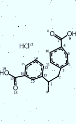 CC(Cc1ccc(C(=O)O)cc1)c1cccc(C(=O)O)c1.Cl